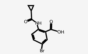 O=C(O)c1cc(Br)ccc1NC(=O)C1CC1